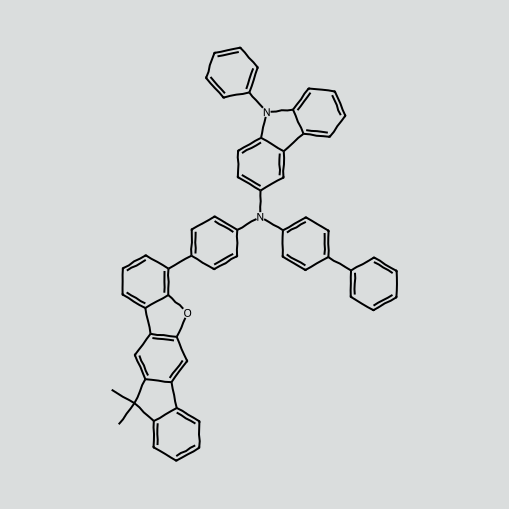 CC1(C)c2ccccc2-c2cc3oc4c(-c5ccc(N(c6ccc(-c7ccccc7)cc6)c6ccc7c(c6)c6ccccc6n7-c6ccccc6)cc5)cccc4c3cc21